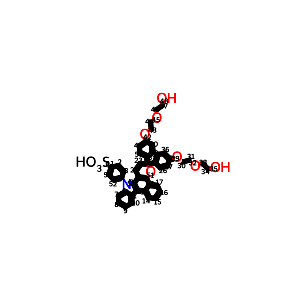 O=S(=O)(O)c1ccc(-n2c3ccccc3c3c4ccccc4c4c(c32)C=CC(c2ccc(OCCOCCO)cc2)(c2ccc(OCCOCCO)cc2)O4)cc1